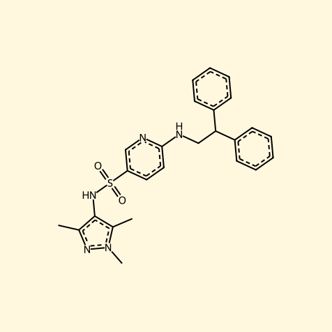 Cc1nn(C)c(C)c1NS(=O)(=O)c1ccc(NCC(c2ccccc2)c2ccccc2)nc1